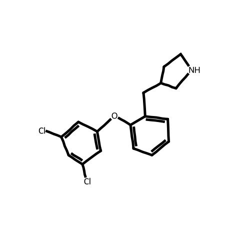 Clc1cc(Cl)cc(Oc2ccccc2CC2CCNC2)c1